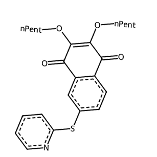 CCCCCOC1=C(OCCCCC)C(=O)c2cc(Sc3ccccn3)ccc2C1=O